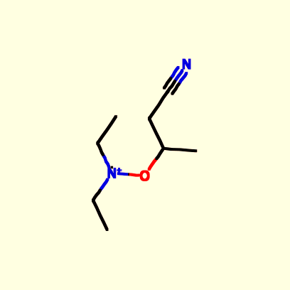 CC[N+](CC)OC(C)CC#N